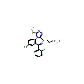 CCSc1nnc2n1-c1ccc(Cl)cc1C(c1ccccc1F)=N[C@H]2CCC(=O)O